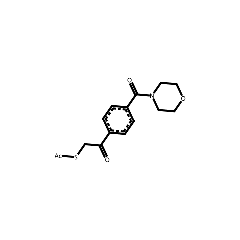 CC(=O)SCC(=O)c1ccc(C(=O)N2CCOCC2)cc1